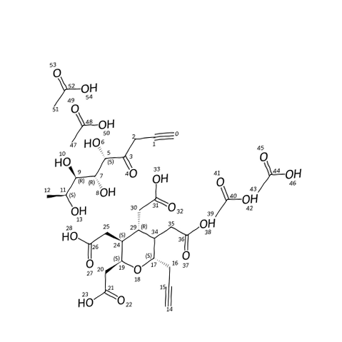 C#CCC(=O)[C@@H](O)[C@H](O)[C@H](O)[C@H](C)O.C#CC[C@@H]1O[C@@H](CC(=O)O)[C@@H](CC(=O)O)[C@H](CC(=O)O)C1CC(=O)O.CC(=O)O.CC(=O)O.CC(=O)O.CC(=O)O